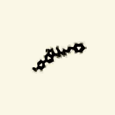 COc1ccc(-c2ccc3c(NC(=O)NCCCc4ccccc4)n[nH]c3c2)cc1